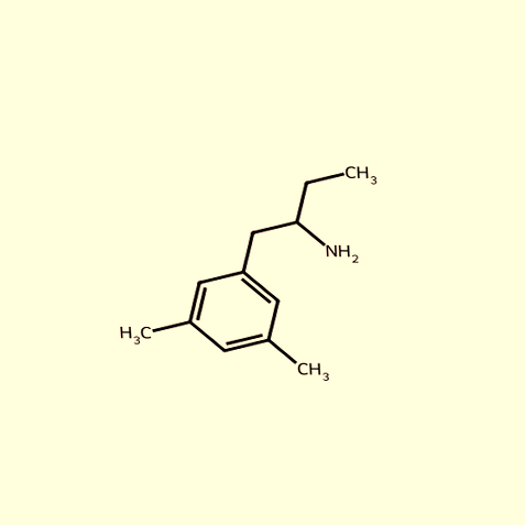 CCC(N)Cc1cc(C)cc(C)c1